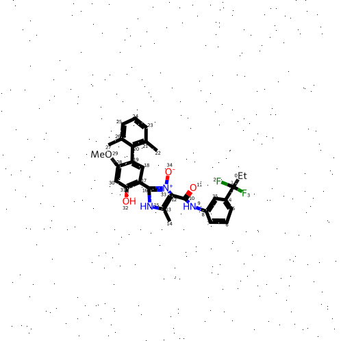 CCC(F)(F)c1cccc(NC(=O)c2c(C)[nH]c(-c3cc(-c4c(C)cccc4C)c(OC)cc3O)[n+]2[O-])c1